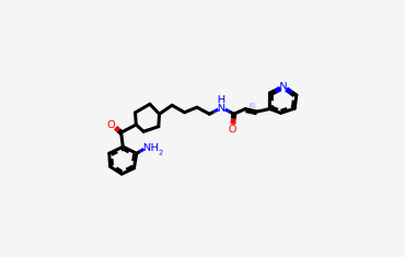 Nc1ccccc1C(=O)C1CCC(CCCCNC(=O)/C=C/c2cccnc2)CC1